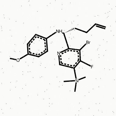 C=CCC[C@@H](Nc1ccc(OC)cc1)c1ncc([Si](C)(C)C)c(F)c1Br